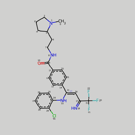 CN1CCCC1CCNC(=O)c1ccc(/C(=C/C(=N)C(F)(F)F)Nc2ccccc2Cl)cc1